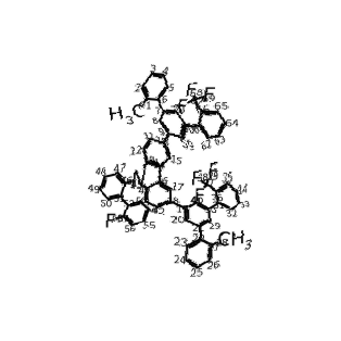 Cc1ccccc1-c1cc(-c2ccc3c(c2)c2cc(-c4cc(-c5ccccc5C)cc(-c5ccccc5C(F)(F)F)c4)ccc2n3-c2ccccc2-c2ccccc2F)cc(-c2ccccc2C(F)(F)F)c1